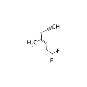 C#C[CH]C(C)=CCC(F)F